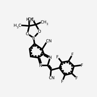 CC1(C)OB(c2ccc3c(c2C#N)=N/C(=C(/C#N)c2c(F)c(F)c(F)c(F)c2F)N=3)OC1(C)C